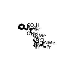 CNC(=O)[C@H](CC(C)C)NC(=O)[C@H](CC(C)C)CP(=O)(CNC(=O)[C@H](CC(C)C)N(Cc1ccccc1)C(=O)O)OC